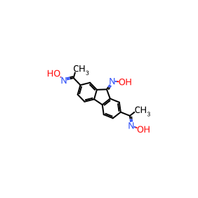 C/C(=N\O)c1ccc2c(c1)C(=NO)c1cc(/C(C)=N/O)ccc1-2